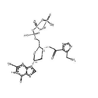 NCc1ncsc1C(=O)C[C@@H]1C[C@H](n2cnc3c(=O)[nH]c(N)nc32)OC1COP(=O)(O)OP(=O)(O)OP(=O)(O)O